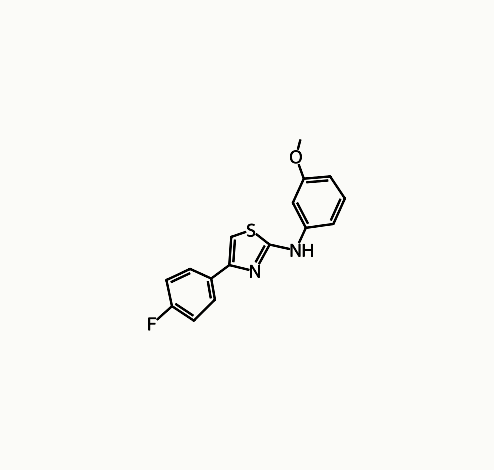 COc1cccc(Nc2nc(-c3ccc(F)cc3)cs2)c1